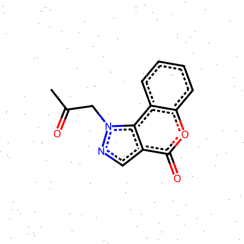 CC(=O)Cn1ncc2c(=O)oc3ccccc3c21